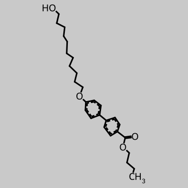 CCCCOC(=O)c1ccc(-c2ccc(OCCCCCCCCCCCO)cc2)cc1